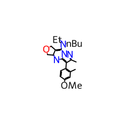 CCCCN(CC)c1c2c(nc3c(-c4ccc(OC)cc4C)c(C)nn13)COC2